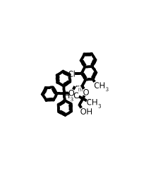 Cc1cc2ccccc2c(Cl)c1[C@@H](COC(c1ccccc1)(c1ccccc1)c1ccccc1)OC(C)(C)CO